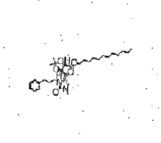 CCCCCCCCCCCCO[C@H]1O[C@H]([C@@H]2CN(C)C(=O)N2CCCc2ccccc2)[C@@H]2OC(C)(C)O[C@H]12